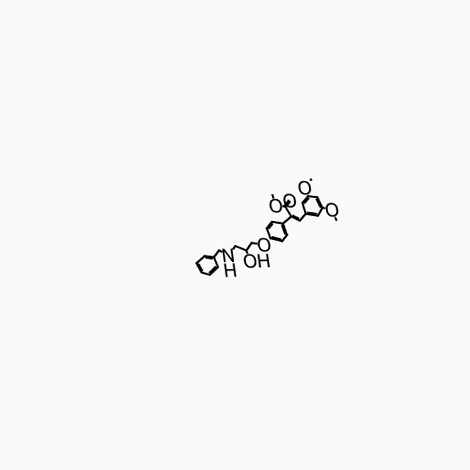 COC(=O)C(=Cc1cc(OC)cc(OC)c1)c1ccc(OCC(O)CNCc2ccccc2)cc1